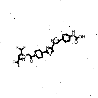 O=C(O)Nc1ccc(C2CC(c3csc(C4CCN(C(=O)Cn5nc(C(F)F)cc5C(F)F)CC4)n3)=NO2)cc1